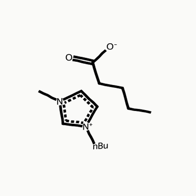 CCCCC(=O)[O-].CCCC[n+]1ccn(C)c1